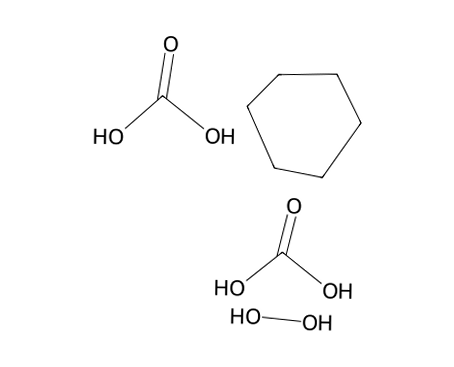 C1CCCCC1.O=C(O)O.O=C(O)O.OO